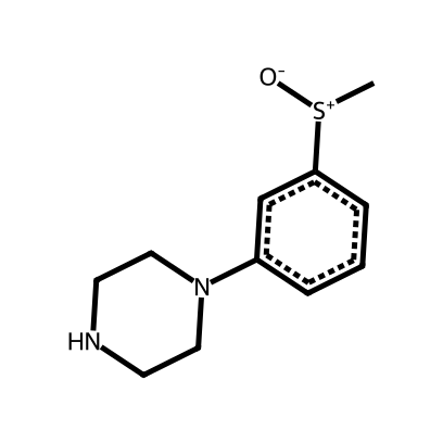 C[S+]([O-])c1cccc(N2CCNCC2)c1